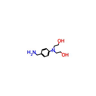 NCc1ccc(N(CCO)CCO)cc1